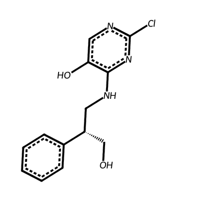 OC[C@@H](CNc1nc(Cl)ncc1O)c1ccccc1